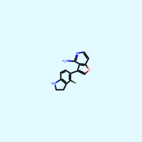 Nc1nccc2occ(-c3ccc4c(c3F)CCN4)c12